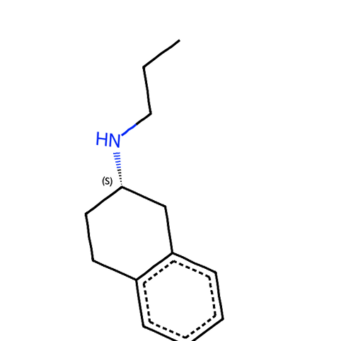 CCCN[C@H]1CCc2ccccc2C1